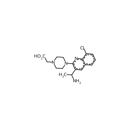 CC(N)c1cc2cccc(Cl)c2nc1N1CCN(CC(=O)O)CC1